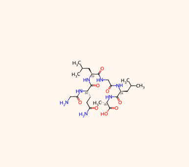 CC(C)C[C@H](NC(=O)CNC(=O)[C@H](CC(C)C)NC(=O)[C@H](CCC(N)=O)NC(=O)CN)C(=O)N[C@@H](C)C(=O)O